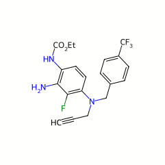 C#CCN(Cc1ccc(C(F)(F)F)cc1)c1ccc(NC(=O)OCC)c(N)c1F